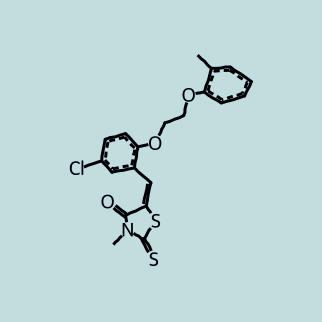 Cc1ccccc1OCCOc1ccc(Cl)cc1C=C1SC(=S)N(C)C1=O